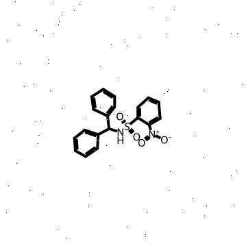 O=[N+]([O-])c1ccccc1S(=O)(=O)NC(c1ccccc1)c1ccccc1